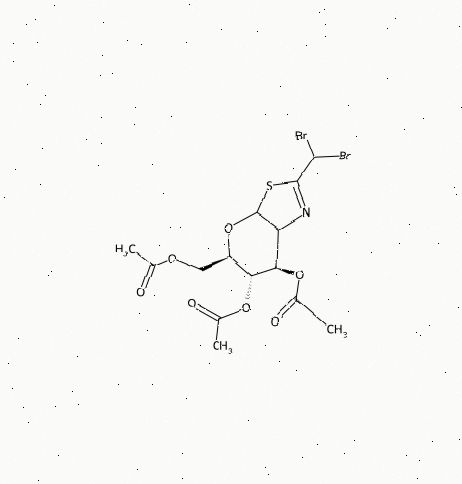 CC(=O)OC[C@H]1OC2SC(C(Br)Br)=NC2[C@@H](OC(C)=O)[C@@H]1OC(C)=O